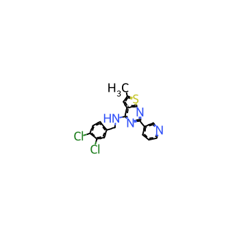 Cc1cc2c(NCc3ccc(Cl)c(Cl)c3)nc(-c3cccnc3)nc2s1